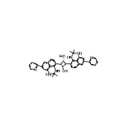 CC1(C)Nc2cc(-c3ccccn3)cc3ccc(C4C(O)C(c5ccc6cc(-c7ccccn7)cc7c6c5NC(C)(C)N7)C4O)c(c23)N1